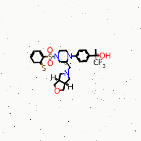 C[C@@](O)(c1ccc(N2CCN(S(=O)(=O)C3=CC=CCC3=S)C[C@@H]2CN2C[C@H]3COC[C@H]3C2)cc1)C(F)(F)F